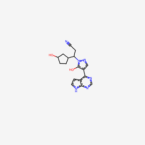 N#CCC(C1CCC(O)C1)n1ncc(-c2ncnc3[nH]ccc23)c1O